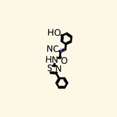 N#C/C(=C\c1cccc(O)c1)C(=O)Nc1nc(-c2ccccc2)cs1